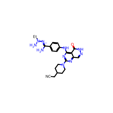 CCN(N)/N=C(\N)c1ccc(Nc2nc(N3CCC(CC#N)CC3)nc3cn[nH]c(=O)c23)cc1